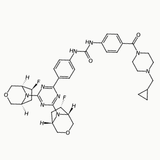 O=C(Nc1ccc(C(=O)N2CCN(CC3CC3)CC2)cc1)Nc1ccc(-c2nc(N3[C@@H]4COC[C@H]3[C@@H](F)C4)nc(N3[C@@H]4COC[C@H]3[C@@H](F)C4)n2)cc1